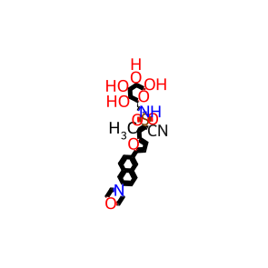 C/C(=C(/C#N)S(=O)(=O)NC[C@H]1OC(O)[C@H](O)[C@@H](O)[C@@H]1O)c1ccc(-c2ccc3cc(N4CCOCC4)ccc3c2)o1